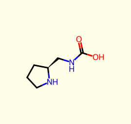 O=C(O)NC[C@@H]1CCCN1